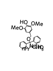 CCCN(C=O)C(OCc1cc(OC)c(O)c(OC)c1)(c1ccccc1)c1ccccc1C